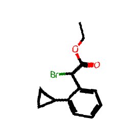 CCOC(=O)C(Br)c1ccccc1C1CC1